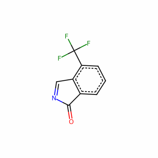 O=C1N=Cc2c1cccc2C(F)(F)F